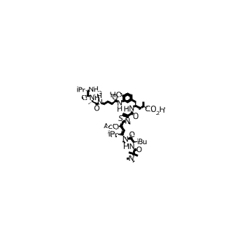 CC[C@H](C)[C@H](NC(=O)C(C)(C)N(C)C)C(=O)N(C)[C@H](C[C@@H](OC(C)=O)c1nc(C(=O)N[C@@H](Cc2ccc(O)c(NC(=O)CCCNC(=O)[C@H](C)NC(=O)[C@@H](N)C(C)C)c2)C[C@H](C)C(=O)O)cs1)C(C)C